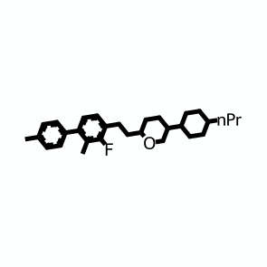 CCCC1CCC(C2CCC(CCc3ccc(-c4ccc(C)cc4)c(C)c3F)OC2)CC1